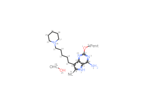 CCCC(C)Oc1nc(N)c2[nH]c(C#N)c(CCCCCN3CCCCC3)c2n1.O=CO